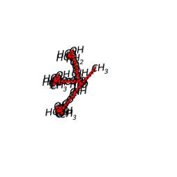 CCCCCCCCCCNC(=O)C(CCCCNC(=O)COCCOCCOCCO[C@@H]1O[C@H](CO)[C@H](O)[C@H](O)[C@H]1NC(C)=O)NC(=O)C(CCCCNC(=O)COCCOCCOCCO[C@@H]1O[C@H](CO)[C@H](O)[C@H](O)[C@H]1N)NC(=O)COCCOCCOCCO[C@@H]1O[C@H](CO)[C@H](O)[C@H](O)[C@H]1NC(C)=O